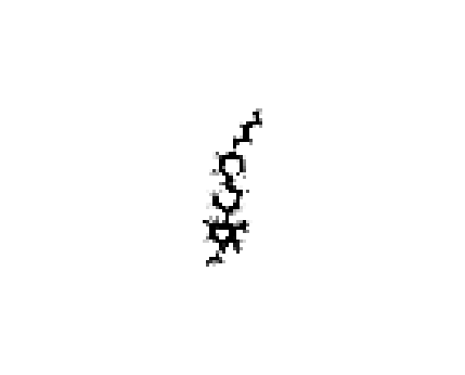 CCCCC[C@H]1CC[C@H]([C@H]2CC[C@H](c3c(F)cc(OC)c(F)c3F)CC2)CC1